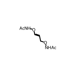 CC(=O)NOC=CCONC(C)=O